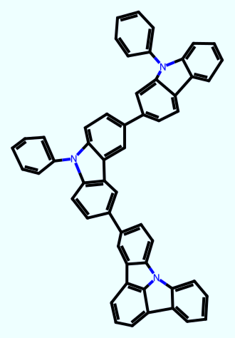 c1ccc(-n2c3ccc(-c4ccc5c(c4)c4cccc6c7ccccc7n5c64)cc3c3cc(-c4ccc5c6ccccc6n(-c6ccccc6)c5c4)ccc32)cc1